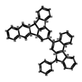 c1ccc(-n2c3ccccc3c3c4ccccc4c(-c4cc5c6ccccc6n6c7nc8ccccc8nc7c(c4)c56)cc32)cc1